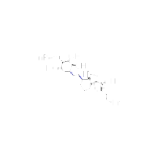 C=C1/C(=C\C=C2/CCC[C@]3(C)[C@@H]([C@H](C)CCCC(C)C)CC[C@@H]23)C[C@@H](O)[C@@H](CCCCC)[C@@H]1O